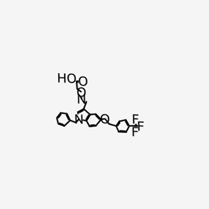 O=C(O)CON=Cc1cn(Cc2ccccc2)c2ccc(OCc3ccc(C(F)(F)F)cc3)cc12